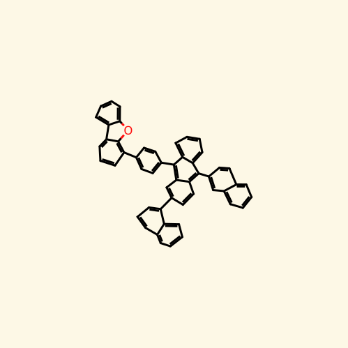 c1ccc2cc(-c3c4ccccc4c(-c4ccc(-c5cccc6c5oc5ccccc56)cc4)c4cc(-c5cccc6ccccc56)ccc34)ccc2c1